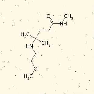 CNC(=O)C=CC(C)(C)NCCOC